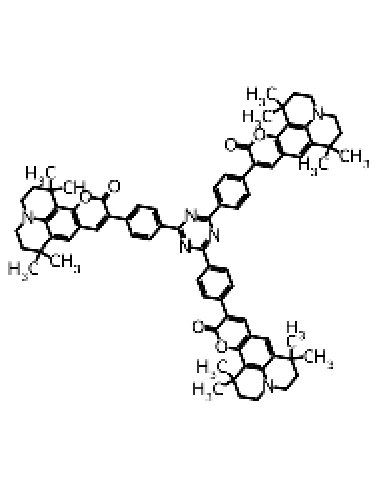 CC1(C)CCN2CCC(C)(C)c3c2c1cc1cc(-c2ccc(-c4nc(-c5ccc(-c6cc7cc8c9c(c7oc6=O)C(C)(C)CCN9CCC8(C)C)cc5)nc(-c5ccc(-c6cc7cc8c9c(c7oc6=O)C(C)(C)CCN9CCC8(C)C)cc5)n4)cc2)c(=O)oc31